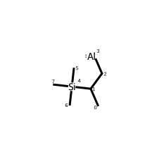 CC([CH2][Al])[Si](C)(C)C